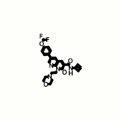 O=C(NC12CC(C1)C2)c1cc2cc(-c3ccc(OC(F)F)cc3)cnc2n(CCN2CCOCC2)c1=O